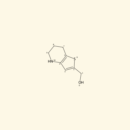 OCc1cc2c(s1)CCCN2